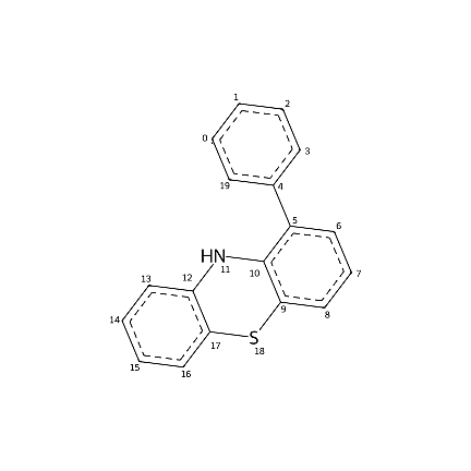 [c]1cccc(-c2cccc3c2Nc2ccccc2S3)c1